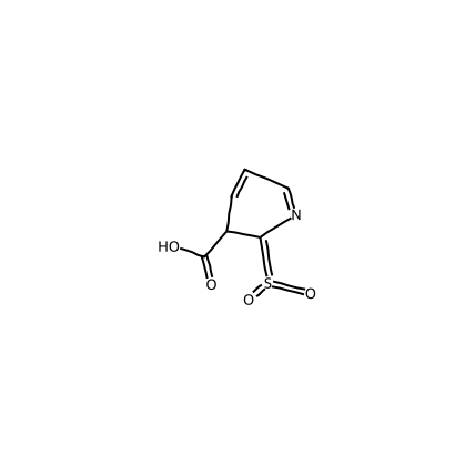 O=C(O)C1C=CC=NC1=S(=O)=O